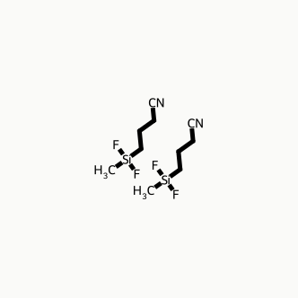 C[Si](F)(F)CCCC#N.C[Si](F)(F)CCCC#N